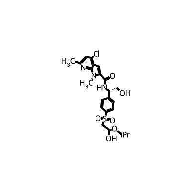 Cc1cc(Cl)c2cc(C(=O)N[C@H](CO)c3ccc(S(=O)(=O)CC(O)OC(C)C)cc3)n(C)c2n1